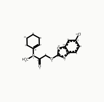 CN(C(=O)COc1nc2ccc(Cl)cc2o1)C1=CCCCC1